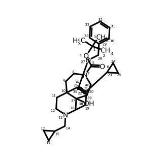 CC(C)(C)OC(=O)N1CCC23CCN(CC4CC4)C(Cc4cc(C5CC5)c(OCc5ccccc5)cc42)C3(O)CC1